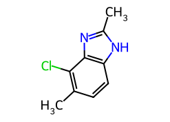 Cc1nc2c(Cl)c(C)ccc2[nH]1